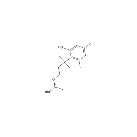 Cc1cc(C)c(C(C)(C)CCO[SiH](C)C(C)(C)C)c(O)c1